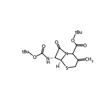 C=C1CS[C@H]2[C@H](NC(=O)OC(C)(C)C)C(=O)N2C1C(=O)OC(C)(C)C